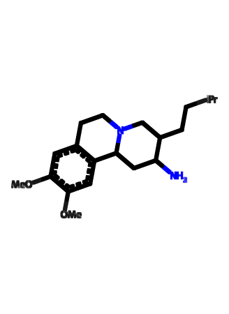 COc1cc2c(cc1OC)C1CC(N)C(CCC(C)C)CN1CC2